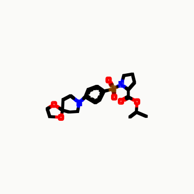 CC(C)OC(=O)C1CCCN1S(=O)(=O)c1ccc(N2CCC3(CC2)OCCO3)cc1